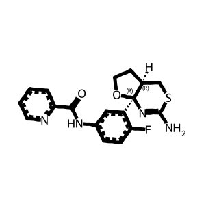 NC1=N[C@@]2(c3cc(NC(=O)c4ccccn4)ccc3F)OCC[C@H]2CS1